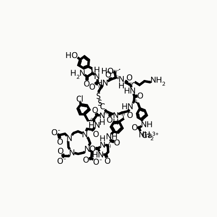 C[C@@H](O)[C@@H]1NC(=O)[C@H](CCCCN)NC(=O)[C@@H](Cc2ccc(NC(N)=O)cc2)NC(=O)[C@H](Cc2ccc(NC(=O)[C@@H]3CC(=O)NC(=O)N3)cc2)NC(=O)[C@H](NC(=O)[C@H](Cc2ccc(Cl)cc2)NC(=O)CN2CCN(CC(=O)[O-])CCN(CC(=O)[O-])CCN(CC(=O)[O-])CC2)CSSC[C@@H](C(=O)N[C@H](Cc2ccc(O)cc2)C(N)=O)NC1=O.[Ga+3]